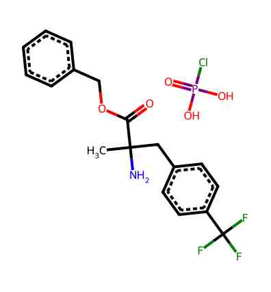 CC(N)(Cc1ccc(C(F)(F)F)cc1)C(=O)OCc1ccccc1.O=P(O)(O)Cl